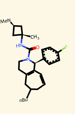 CCCCC1CC=CC2=C(CCN(C(=O)N[C@]3(C)C[C@@H](NC)C3)[C@H]2c2ccc(F)cc2)C1